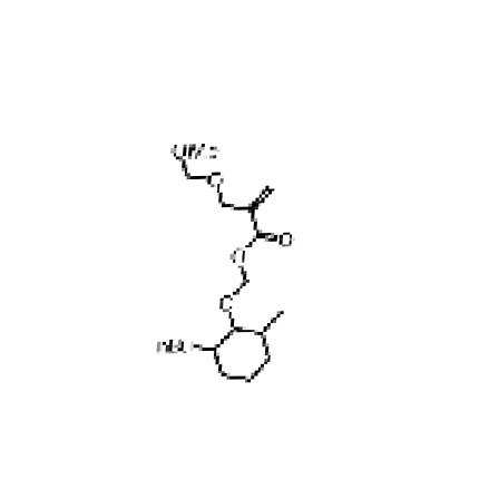 C=C(COCOC)C(=O)OCOC1C(C)CCCC1CCCC